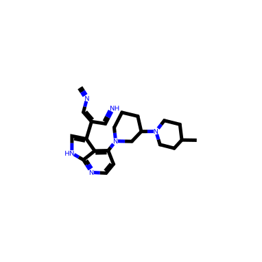 C=N/C=C(\C=N)c1c[nH]c2nccc(N3CCCC(N4CCC(C)CC4)C3)c12